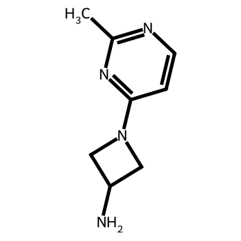 Cc1nccc(N2CC(N)C2)n1